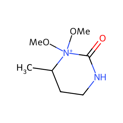 CO[N+]1(OC)C(=O)NCCC1C